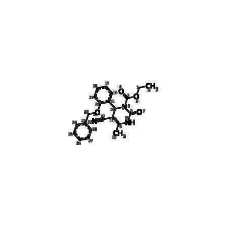 CCOC(=O)N1C(=O)NC(C)=C(C#N)C1c1ccccc1OCc1ccccc1